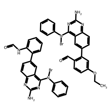 CCOc1ccc(C=O)c(-c2ccc3nc(N)nc(N(Br)c4ccccc4)c3c2)c1.Nc1nc(N(Br)c2ccccc2)c2cc(-c3ccccc3NC=O)ccc2n1